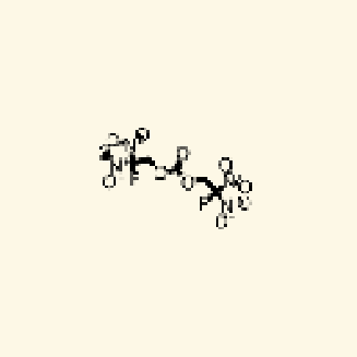 O=C(OCC(F)([N+](=O)[O-])[N+](=O)[O-])OCC(F)([N+](=O)[O-])[N+](=O)[O-]